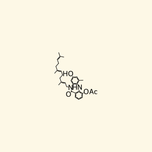 CC(=O)Oc1cccc2c1Nc1c(C)cc(O)cc1N(C/C=C(\C)CC/C=C(\C)CCC=C(C)C)C2=O